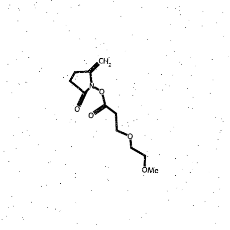 C=C1CCC(=O)N1OC(=O)CCOCCOC